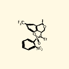 CCN([C@@H]1CO[C@H](C)c2cc(C(F)(F)F)ccc21)S(=O)(=O)c1ccccc1[N+](=O)[O-]